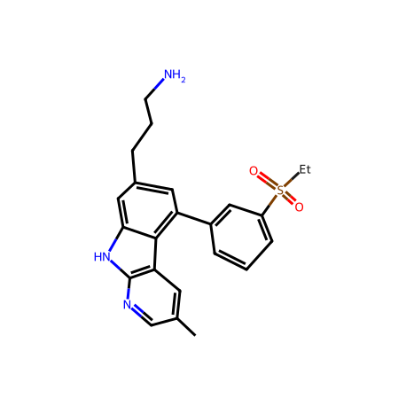 CCS(=O)(=O)c1cccc(-c2cc(CCCN)cc3[nH]c4ncc(C)cc4c23)c1